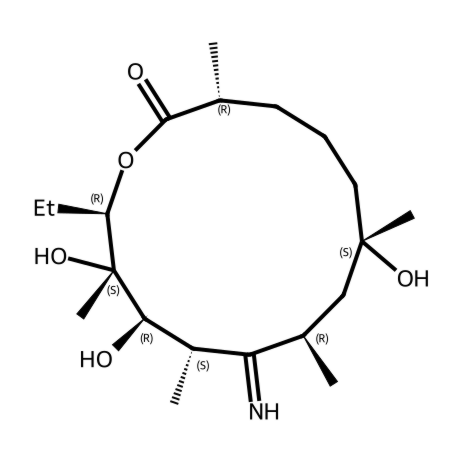 CC[C@H]1OC(=O)[C@H](C)CCC[C@](C)(O)C[C@@H](C)C(=N)[C@H](C)[C@@H](O)[C@]1(C)O